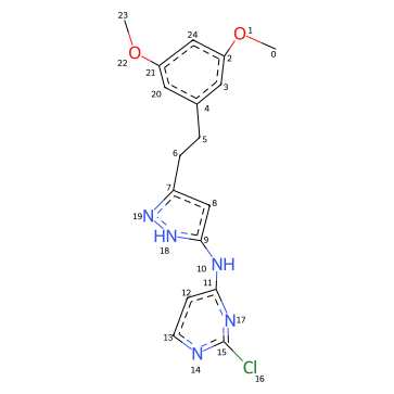 COc1cc(CCc2cc(Nc3ccnc(Cl)n3)[nH]n2)cc(OC)c1